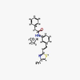 CC(=O)O.CC(C)c1csc(C=Cc2cccc(NC(=O)Cc3ccccc3)c2)n1